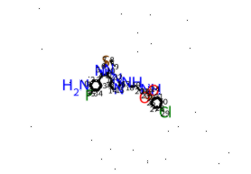 Nc1cc(-c2nc3sccn3c2-c2ccnc(NCCCNS(=O)(=O)c3ccc(Cl)cc3)n2)ccc1F